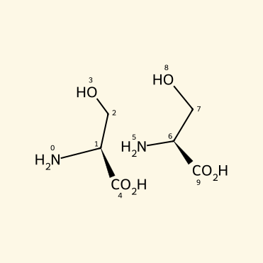 N[C@@H](CO)C(=O)O.N[C@@H](CO)C(=O)O